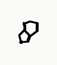 C1=CC2=C[N]CC2=NC1